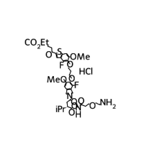 CCOC(=O)CCC(=O)c1cc2c(F)c(OCCCOc3c(OC)cc4c(c3F)CN(C(=O)C[C@H](C(=O)ONC(=O)CCOCCN)C(C)C)C4)c(OC)cc2s1.Cl